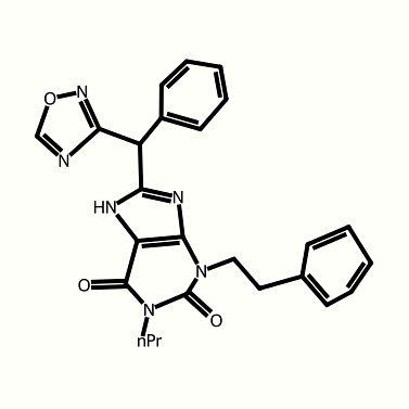 CCCn1c(=O)c2[nH]c(C(c3ccccc3)c3ncon3)nc2n(CCc2ccccc2)c1=O